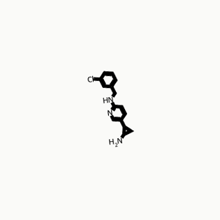 NC1CC1c1ccc(NCc2cccc(Cl)c2)nc1